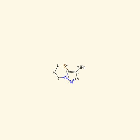 CC(C)c1cnn2c1SCCC2